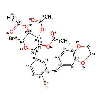 CC(=O)O[C@@H]1[C@@H](OC(C)=O)[C@H](c2ccc(Br)c(Cc3ccc4c(c3)OCCO4)c2)OC(Br)[C@H]1OC(C)=O